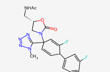 CC(=O)NC[C@H]1CN(C2(c3nnnn3C)C=CC(c3cccc(F)c3)C(F)=C2)C(=O)O1